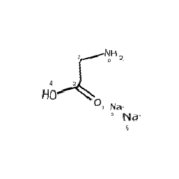 NCC(=O)O.[Na].[Na]